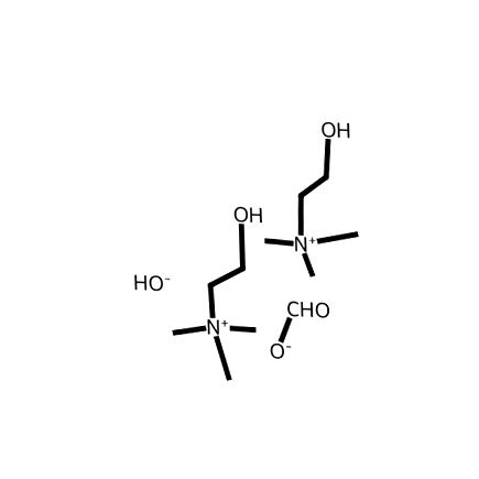 C[N+](C)(C)CCO.C[N+](C)(C)CCO.O=C[O-].[OH-]